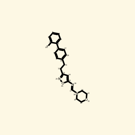 Fc1ccccc1-c1ccc(CCc2cc(N=[C]N3CCOCC3)on2)cc1